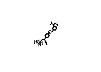 CC#CC(Cc1nnn[nH]1)c1ccc(OCc2ccc3scc(C(C)C)c3c2)cc1